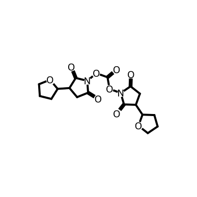 O=C(ON1C(=O)CC(C2CCCO2)C1=O)ON1C(=O)CC(C2CCCO2)C1=O